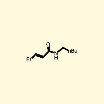 CCC=CC(=O)NCCCCC